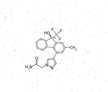 Cc1cc(-c2cnn(CC(N)=O)c2)c2c(c1)[C@@](O)(C(F)(F)F)c1ccccc1-2